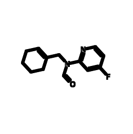 O=CN(CC1=CCCCC1)c1cc(F)ccn1